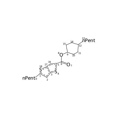 CCCCCc1cc2sc(C(=O)OC3CCC(CCCCC)CC3)cc2s1